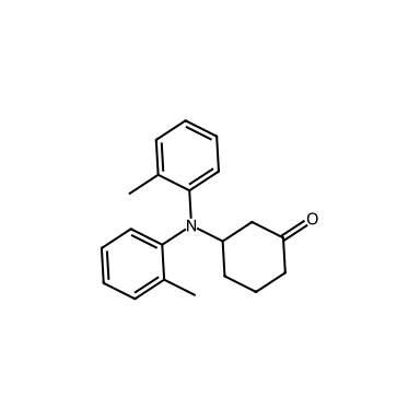 Cc1ccccc1N(c1ccccc1C)C1CCCC(=O)C1